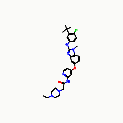 CCN1CCN(CC(=O)Nc2cc(Oc3ccc4c(c3)nc(Nc3ccc(Cl)c(C(C)(C)C)c3)n4C)ccn2)CC1